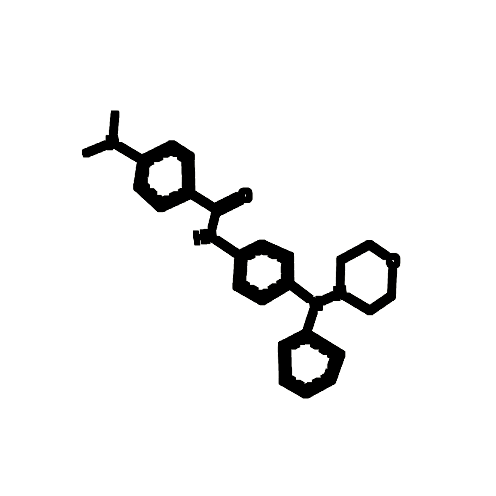 CN(C)c1ccc(C(=O)Nc2ccc(N(c3ccccc3)N3CCOCC3)cc2)cc1